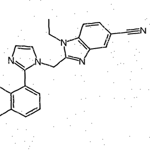 CCn1c(Cn2ccnc2-c2cccc(F)c2F)nc2cc(C#N)ccc21